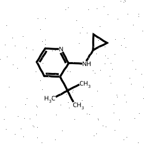 CC(C)(C)c1cccnc1NC1CC1